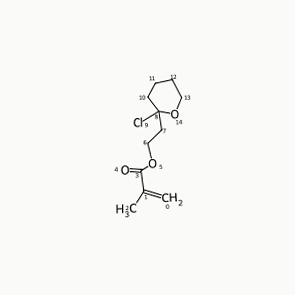 C=C(C)C(=O)OCCC1(Cl)CCCCO1